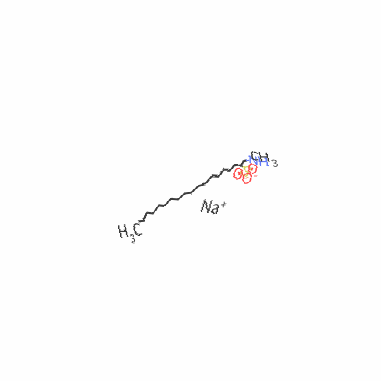 CCCCCCCCCCCCCCCCCCC(CNC)S(=O)(=O)[O-].[Na+]